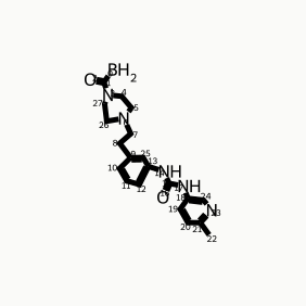 BC(=O)N1CCN(CCc2cccc(NC(=O)Nc3ccc(C)nc3)c2)CC1